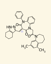 Cc1cc(C)c2c(c1)N(C(=O)CN1C(=O)/C(=C/c3n[nH]c4c3CCCC4)C(=O)N(c3ccccc3)c3ccccc31)CCCC2